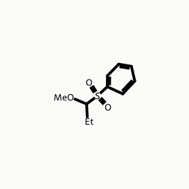 [CH2]CC(OC)S(=O)(=O)c1ccccc1